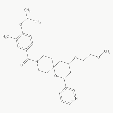 COCCOC1CC(c2cccnc2)OC2(CCN(C(=O)c3ccc(OC(C)C)c(C)c3)CC2)C1